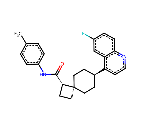 O=C(Nc1ccc(C(F)(F)F)cc1)[C@H]1CC[C@]12CC[C@H](c1ccnc3ccc(F)cc31)CC2